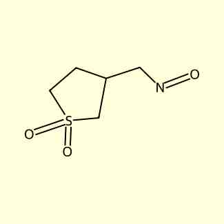 O=NCC1CCS(=O)(=O)C1